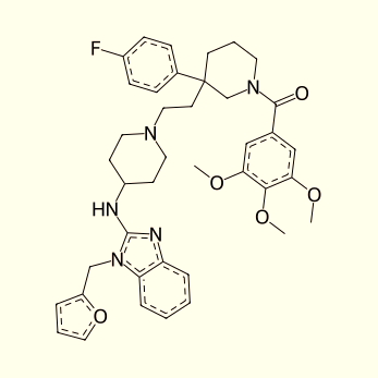 COc1cc(C(=O)N2CCCC(CCN3CCC(Nc4nc5ccccc5n4Cc4ccco4)CC3)(c3ccc(F)cc3)C2)cc(OC)c1OC